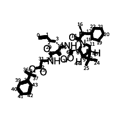 C=CCC[C@H](NC(=O)[C@@H]1[C@@H]2[C@H](CN1C(=O)[C@@H](C)C1CCCCC1)C2(C)C)C(=O)C(=O)NCC(=O)OC(C)(C)c1ccccc1